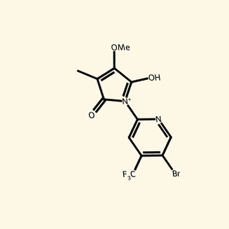 COC1=C(C)C(=O)[N+](c2cc(C(F)(F)F)c(Br)cn2)=C1O